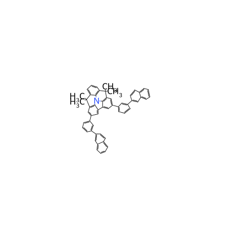 CC1(C)c2cccc3c2-n2c4c1cc(-c1cccc(-c5ccc6ccccc6c5)c1)cc4c1cc(-c4cccc(-c5ccc6ccccc6c5)c4)cc(c12)C3(C)C